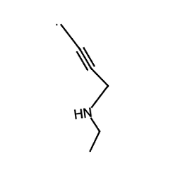 [CH2]C#CCNCC